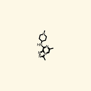 Cc1cn2c(C)nnc2c(NC2CCN(C)CC2)n1